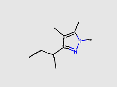 CCC(C)c1nn(C)c(C)c1C